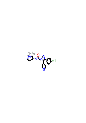 CN1CC[C@@H](NC(=O)Cn2cnc(-c3ccc(Cl)cc3)c2-c2ccncc2)C1